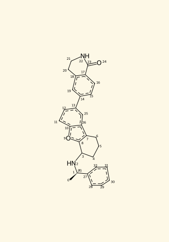 C[C@@H](NC1CCCc2c1oc1ccc(-c3ccc4c(c3)CCNC4=O)cc21)c1ccccc1